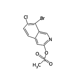 CS(=O)(=O)Oc1cc2ccc(Cl)c(Br)c2cn1